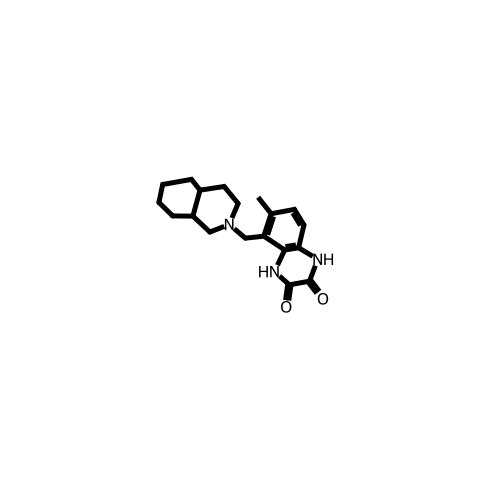 Cc1ccc2[nH]c(=O)c(=O)[nH]c2c1CN1CCC2CCCCC2C1